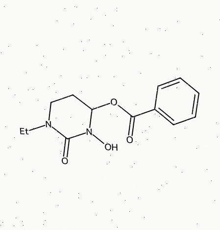 CCN1CCC(OC(=O)c2ccccc2)N(O)C1=O